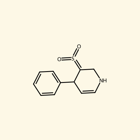 O=S(=O)=C1CNC=CC1c1ccccc1